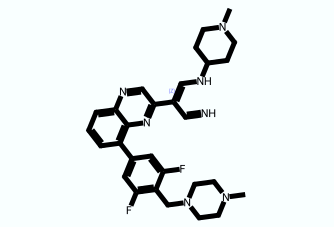 CN1CCC(N/C=C(\C=N)c2cnc3cccc(-c4cc(F)c(CN5CCN(C)CC5)c(F)c4)c3n2)CC1